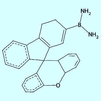 NB(N)C1=CC2=C(CC1)c1ccccc1C21c2ccccc2OC2C=CC=CC21